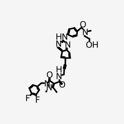 Cc1c(C(=O)NCC#Cc2ccc3nc(Nc4ccc(C(=O)N(C)CCO)cc4)ncc3c2)c(=O)n(Cc2ccc(F)c(F)c2)n1C